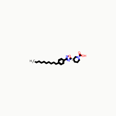 CCCCCCCCCCc1ccc(-c2noc([C@H]3CCCN(C(=O)O)C3)n2)cc1